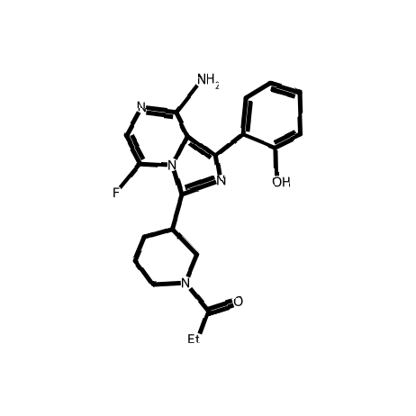 CCC(=O)N1CCCC(c2nc(-c3ccccc3O)c3c(N)ncc(F)n23)C1